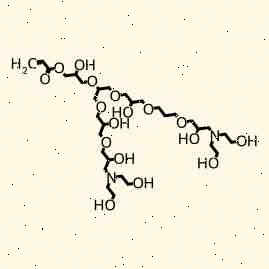 C=CC(=O)OCC(O)COC(COCC(O)COCCCOCC(O)CN(CCO)CCO)COCC(O)COCC(O)CN(CCO)CCO